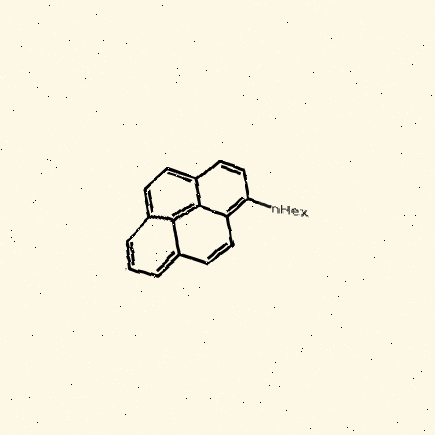 CCCCCCc1ccc2ccc3c[c]cc4ccc1c2c34